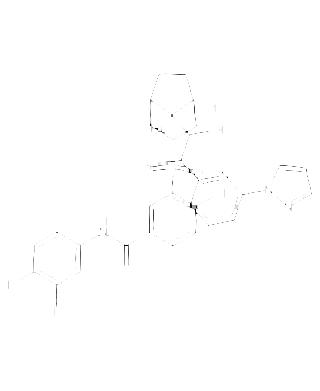 O=C(Nc1ccc(F)c(F)c1)c1ccc(Cl)c(S(=O)(=O)[C@@H]2CC3CC[C@@H](C2)[C@@]3(O)C(O)C(O)c2cccc(-n3cccn3)n2)c1